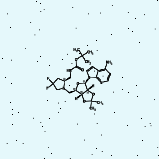 CC(C)(C)OC(=O)NC[C@@H]1CC(F)(F)CN1C[C@H]1O[C@@H](n2ccc3c(N)ncnc32)[C@@H]2OC(C)(C)O[C@@H]21